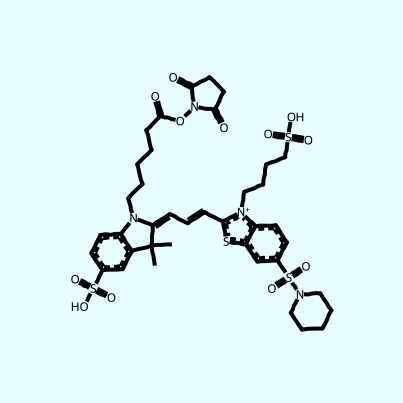 CC1(C)/C(=C\C=C\c2sc3cc(S(=O)(=O)N4CCCCC4)ccc3[n+]2CCCCS(=O)(=O)O)N(CCCCCC(=O)ON2C(=O)CCC2=O)c2ccc(S(=O)(=O)O)cc21